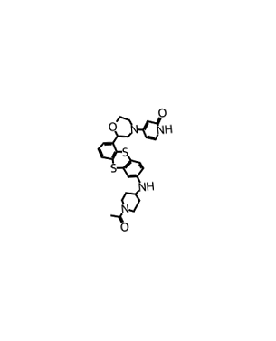 CC(=O)N1CCC(Nc2ccc3c(c2)Sc2cccc(C4CN(c5cc[nH]c(=O)c5)CCO4)c2S3)CC1